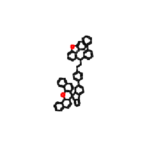 C1=CC2C(Oc3c(ccc4ccccc34)C23c2ccccc2-c2ccc(-c4ccc(CCC(c5cccc(-c6ccccc6)c5)c5cccc6oc7ccccc7c56)cc4)cc23)c2ccccc21